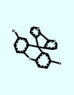 Brc1ccc2c(c1)C1(c3cc(Br)ccc3O2)c2cccnc2-c2ncccc21